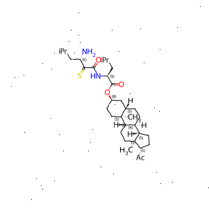 CC(=O)[C@H]1CC[C@H]2[C@@H]3CC[C@H]4C[C@H](OC(=O)[C@H](CC(C)C)NC(=O)C(=S)[C@@H](N)CC(C)C)CC[C@]4(C)[C@H]3CC[C@]12C